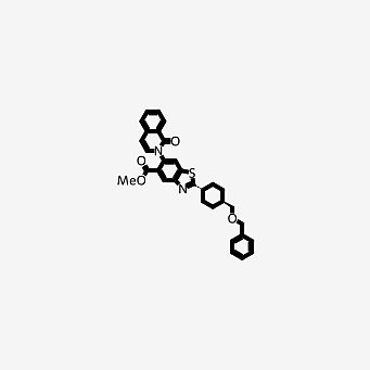 COC(=O)c1cc2nc([C@H]3CC[C@H](COCc4ccccc4)CC3)sc2cc1-n1ccc2ccccc2c1=O